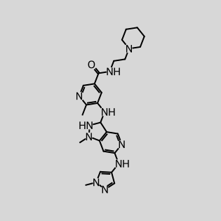 Cc1ncc(C(=O)NCCN2CCCCC2)cc1NC1NN(C)c2cc(Nc3cnn(C)c3)ncc21